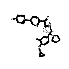 C[C@@H](NC(=O)C(=O)c1ccc(-c2ccc(F)cc2)cn1)[C@](O)(c1ccc(OC2CC2)c(Cl)c1)N1CCCC1